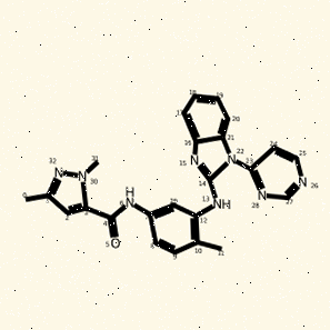 Cc1cc(C(=O)Nc2ccc(C)c(Nc3nc4ccccc4n3-c3ccncn3)c2)n(C)n1